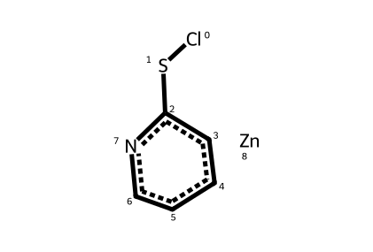 ClSc1ccccn1.[Zn]